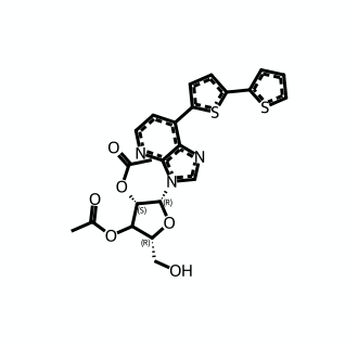 CC(=O)OC1[C@@H](CO)O[C@@H](n2cnc3c(-c4ccc(-c5cccs5)s4)ccnc32)[C@H]1OC(C)=O